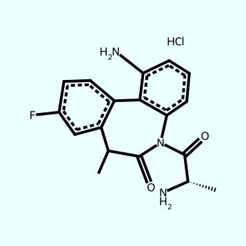 CC1C(=O)N(C(=O)[C@H](C)N)c2cccc(N)c2-c2ccc(F)cc21.Cl